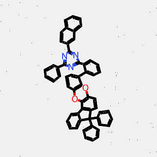 c1ccc(-c2nc(-c3ccc4ccccc4c3)nc(-c3ccccc3-c3cccc4c3Oc3ccc5c(c3O4)-c3ccccc3C5(c3ccccc3)c3ccccc3)n2)cc1